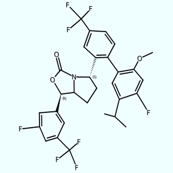 COc1cc(F)c(C(C)C)cc1-c1ccc(C(F)(F)F)cc1[C@@H]1CCC2[C@@H](c3cc(F)cc(C(F)(F)F)c3)OC(=O)N21